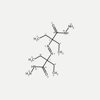 CCC(CC)(N=NC(CC)(CC)C(=O)NN)C(=O)NN